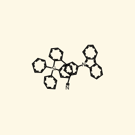 N#Cc1cc(-c2ccccc2[Si](c2ccccc2)(c2ccccc2)c2ccccc2)cc(-n2c3ccccc3c3ccccc32)c1